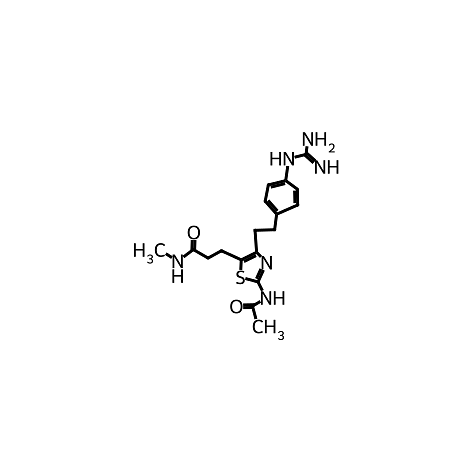 CNC(=O)CCc1sc(NC(C)=O)nc1CCc1ccc(NC(=N)N)cc1